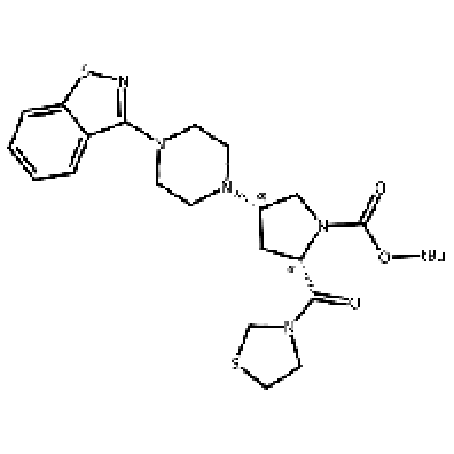 CC(C)(C)OC(=O)N1C[C@@H](N2CCN(c3nsc4ccccc34)CC2)C[C@H]1C(=O)N1CCSC1